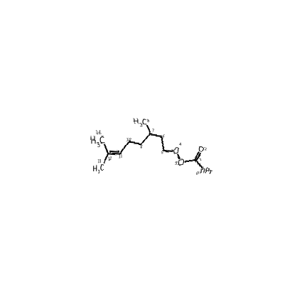 CCCC(=O)OOCCC(C)CCC=C(C)C